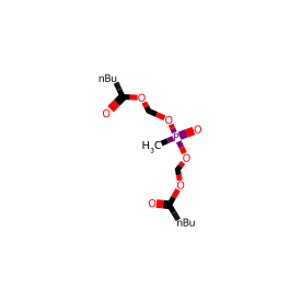 CCCCC(=O)OCOP(C)(=O)OCOC(=O)CCCC